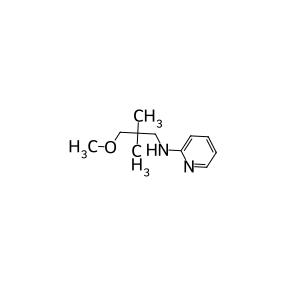 COCC(C)(C)CNc1ccccn1